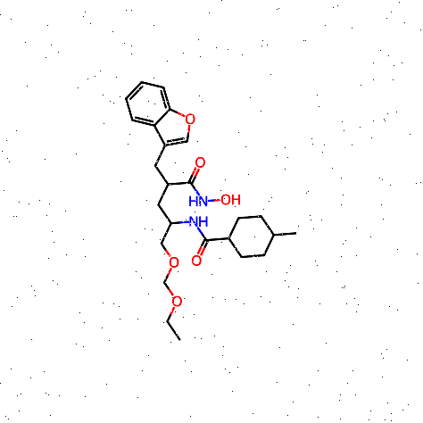 CCOCOCC(CC(Cc1coc2ccccc12)C(=O)NO)NC(=O)C1CCC(C)CC1